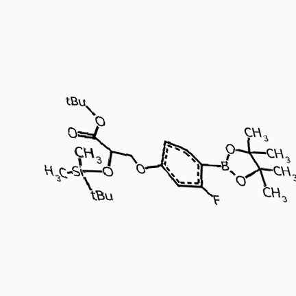 CC(C)(C)OC(=O)C(COc1ccc(B2OC(C)(C)C(C)(C)O2)c(F)c1)O[Si](C)(C)C(C)(C)C